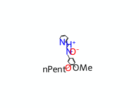 CCCCCOc1cc(C[NH+]([O-])CCc2ccccn2)ccc1OC